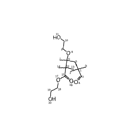 CC(C)(C=O)CC(C)(OCCO)C(C)(C)C(=O)OCCO